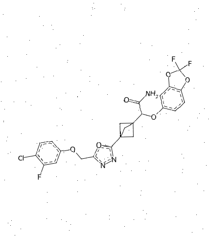 NC(=O)C(Oc1ccc2c(c1)OC(F)(F)O2)C12CC(c3nnc(COc4ccc(Cl)c(F)c4)o3)(C1)C2